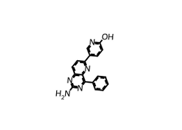 Nc1nc(-c2ccccc2)c2nc(-c3ccc(O)nc3)ccc2n1